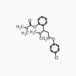 CN(C)C(=O)Oc1ccccc1C(CCOc1ccc(Cl)cc1)N(C)C(=O)O